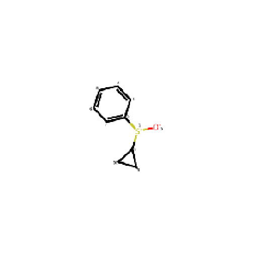 [O-][S+](c1[c]cccc1)C1CC1